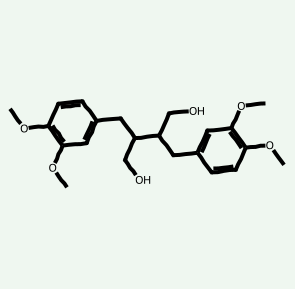 COc1ccc(CC(CO)C(CO)Cc2ccc(OC)c(OC)c2)cc1OC